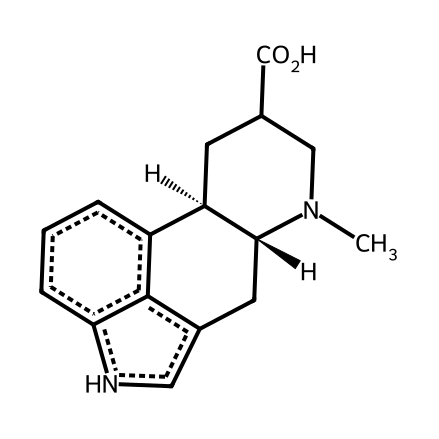 CN1CC(C(=O)O)C[C@@H]2c3cccc4[nH]cc(c34)C[C@H]21